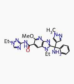 CCn1cnc(NC(=O)c2cc3c(nc2OC)nc(C(N)(c2ccccc2)c2cnn(C)c2)n3CC)n1